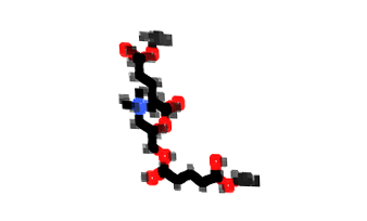 CC(C)(C)OC(=O)CCCC(=O)OCC(C[N+](C)(C)C)OC(=O)CCCC(=O)OC(C)(C)C